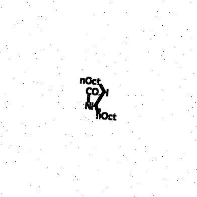 CCCCCCCCCCCCCCCCCC.NC(=O)O